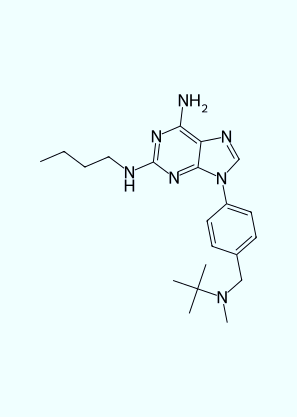 CCCCNc1nc(N)c2ncn(-c3ccc(CN(C)C(C)(C)C)cc3)c2n1